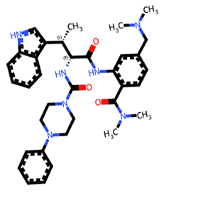 C[C@@H](c1c[nH]c2ccccc12)[C@@H](NC(=O)N1CCN(c2ccccc2)CC1)C(=O)Nc1cc(CN(C)C)ccc1C(=O)N(C)C